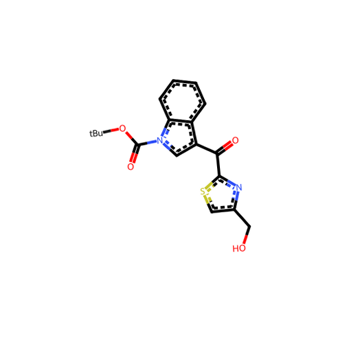 CC(C)(C)OC(=O)n1cc(C(=O)c2nc(CO)cs2)c2ccccc21